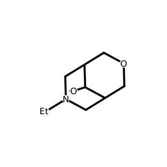 CCN1CC2COCC(C1)C2[O]